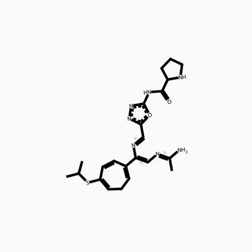 C\C(N)=N/C=C(\N=C\c1nnc(NC(=O)C2CCCN2)o1)C1=CCC=C(SC(C)C)C=C1